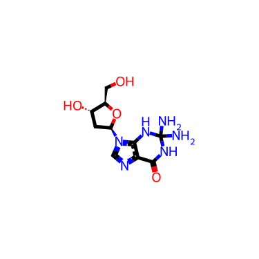 NC1(N)NC(=O)c2ncn([C@H]3C[C@H](O)[C@@H](CO)O3)c2N1